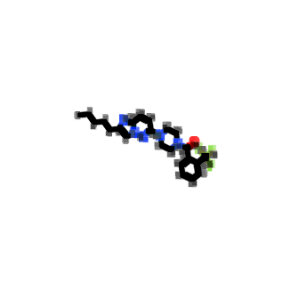 CCCCCc1cn2nc(N3CCN(C(=O)c4ccccc4C(F)(F)F)CC3)ccc2n1